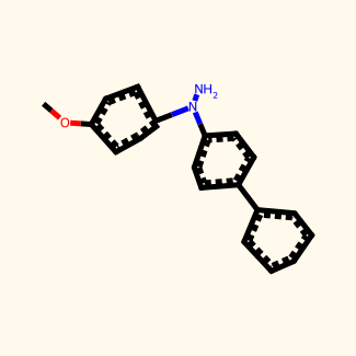 COc1ccc(N(N)c2ccc(-c3ccccc3)cc2)cc1